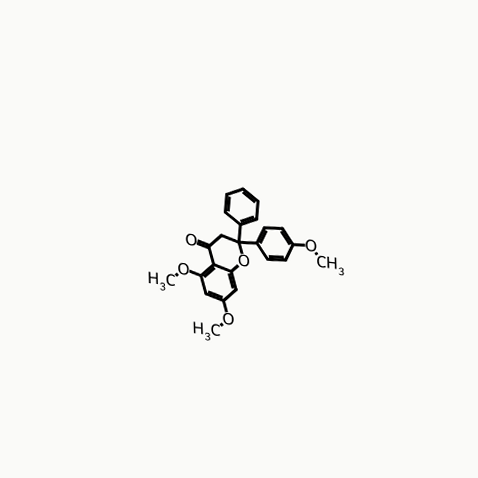 COc1ccc(C2(c3ccccc3)CC(=O)c3c(OC)cc(OC)cc3O2)cc1